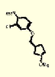 CNC1CC=C(OCC2CCN(OC)C2)C=C1Cl